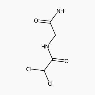 [NH]C(=O)CNC(=O)C(Cl)Cl